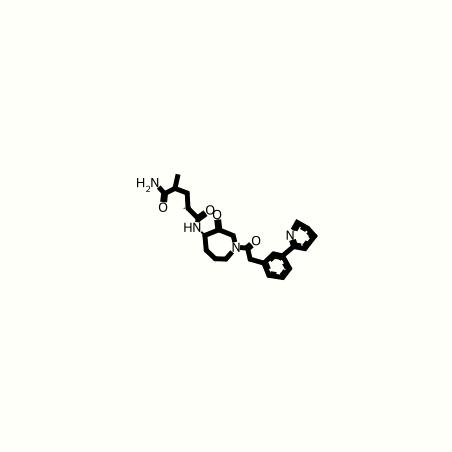 CC(C[CH]C(=O)N[C@H]1CCCN(C(=O)Cc2cccc(-c3ccccn3)c2)CC1=O)C(N)=O